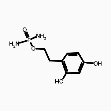 NP(N)(=O)OCCc1ccc(O)cc1O